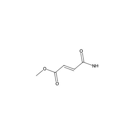 COC(=O)/C=C/C([NH])=O